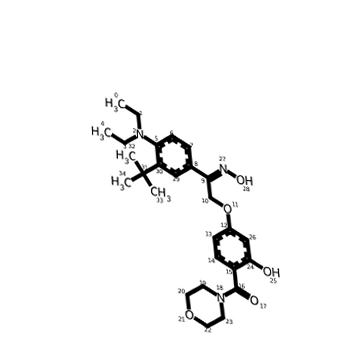 CCN(CC)c1ccc(C(COc2ccc(C(=O)N3CCOCC3)c(O)c2)=NO)cc1C(C)(C)C